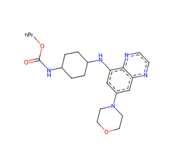 CCCOC(=O)NC1CCC(Nc2cc(N3CCOCC3)cc3nccnc23)CC1